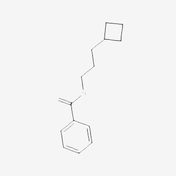 O=C([N]CCCC1CCC1)c1ccccc1